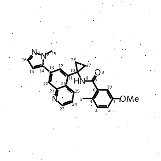 COc1ccc(C)c(C(=O)NC2(c3cc(-c4ccnn4C)cc4ncccc34)CC2)c1